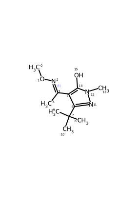 CO/N=C(\C)c1c(C(C)(C)C)nn(C)c1O